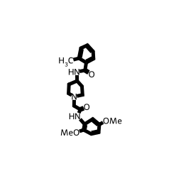 COc1ccc(OC)c(NC(=O)CN2CCC(NC(=O)c3ccccc3C)CC2)c1